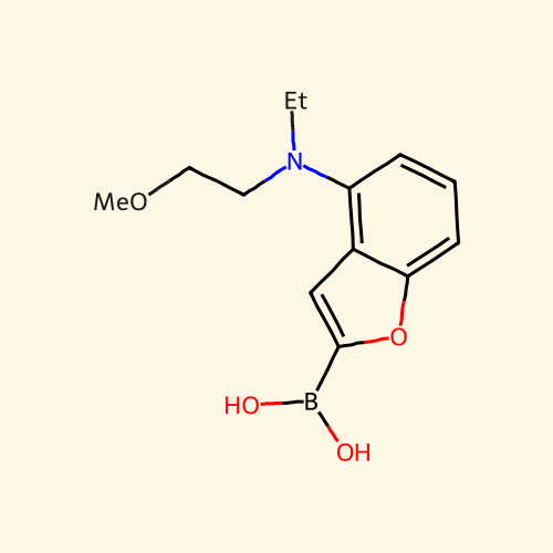 CCN(CCOC)c1cccc2oc(B(O)O)cc12